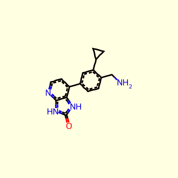 NCc1ccc(-c2ccnc3[nH]c(=O)[nH]c23)cc1C1CC1